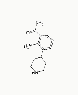 NC(=O)c1cccc(C2CCNCC2)c1N